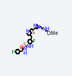 COCCNCCn1cnc(-c2cc3nccc(Cc4ccc(NC(=S)NC(=O)Cc5ccc(F)cc5)cc4F)c3s2)c1